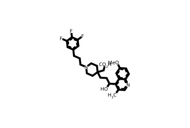 COc1ccc2ncc(C)c(C(O)CCC3(CC(=O)O)CCN(CCCc4cc(F)c(F)c(F)c4)CC3)c2c1